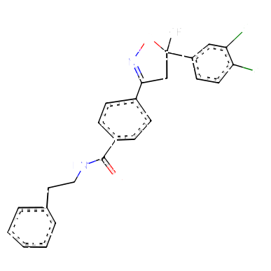 O=C(NCCc1ccccc1)c1ccc(C2=NOC(c3ccc(Cl)c(Cl)c3)(C(F)(F)F)C2)cc1